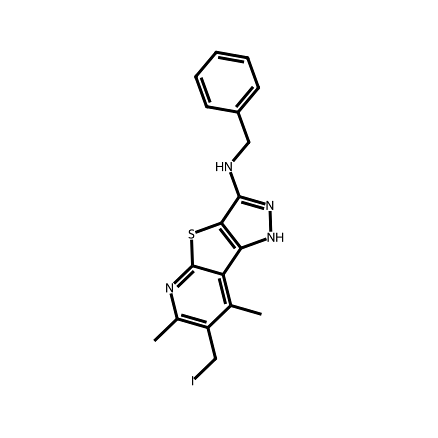 Cc1nc2sc3c(NCc4ccccc4)n[nH]c3c2c(C)c1CI